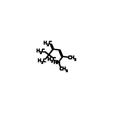 C=C(/C=C(/C)NC)C(C)(C)C